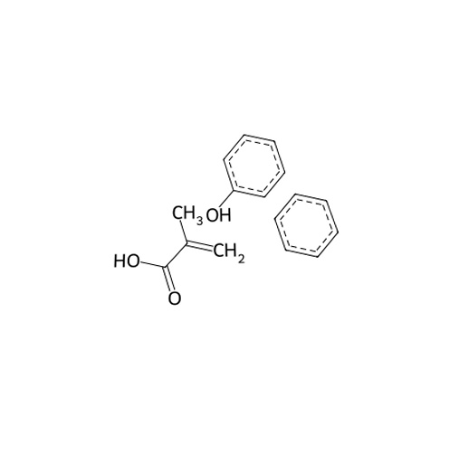 C=C(C)C(=O)O.Oc1ccccc1.c1ccccc1